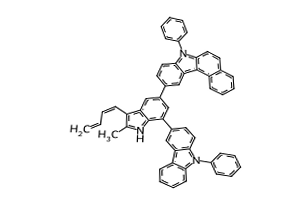 C=C/C=C\c1c(C)[nH]c2c(-c3ccc4c(c3)c3ccccc3n4-c3ccccc3)cc(-c3ccc4c(c3)c3c5ccccc5ccc3n4-c3ccccc3)cc12